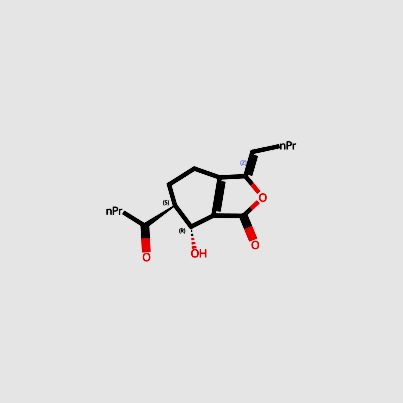 CCC/C=C1\OC(=O)C2=C1CC[C@H](C(=O)CCC)[C@H]2O